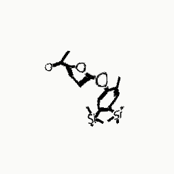 CC(=O)c1ccc(Oc2cc([Si](C)(C)C)c([Si](C)(C)C)cc2C)o1